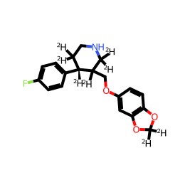 [2H]C1([2H])Oc2ccc(OCC3([2H])C([2H])([2H])NCC([2H])([2H])[C@@]3([2H])c3ccc(F)cc3)cc2O1